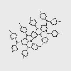 Cc1ccc(C2c3cc4c(cc3B3c5cc(C)ccc5N(c5ccc(C)cc5)c5cc(N(c6ccc(C)cc6)c6ccc(C)cc6)cc2c53)B2c3cc(C)ccc3N(c3ccc(C)cc3)c3cc(N(c5ccc(C)cc5)c5ccc(C)cc5)cc(c32)N4c2ccc(C)cc2)cc1